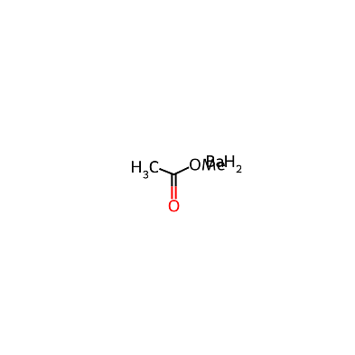 COC(C)=O.[BaH2]